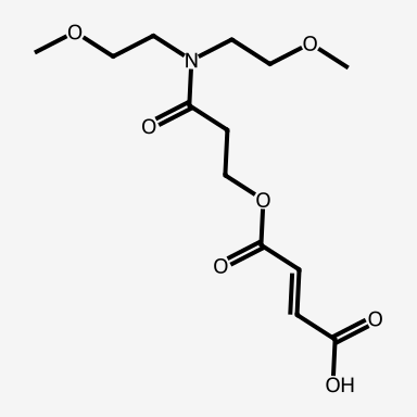 COCCN(CCOC)C(=O)CCOC(=O)C=CC(=O)O